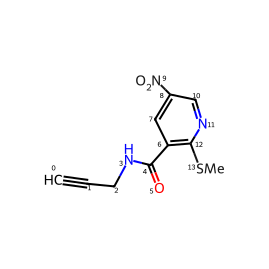 C#CCNC(=O)c1cc([N+](=O)[O-])cnc1SC